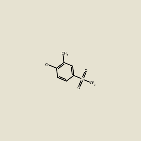 Cc1cc(S(=O)(=O)C(F)(F)F)ccc1Cl